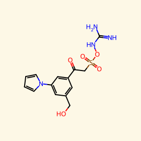 N=C(N)NOS(=O)(=O)CC(=O)c1cc(CO)cc(-n2cccc2)c1